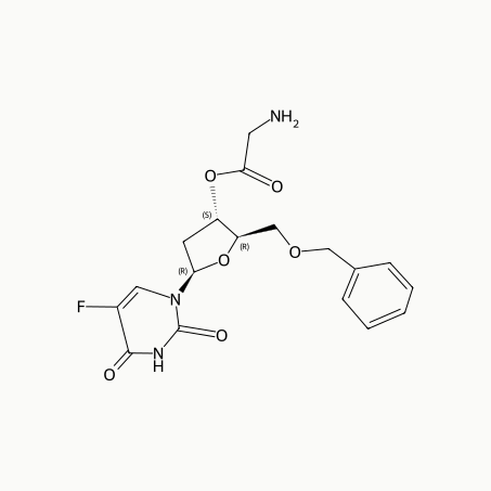 NCC(=O)O[C@H]1C[C@H](n2cc(F)c(=O)[nH]c2=O)O[C@@H]1COCc1ccccc1